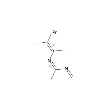 C=N/C(C)=N\C(C)=C(/C)C(C)C